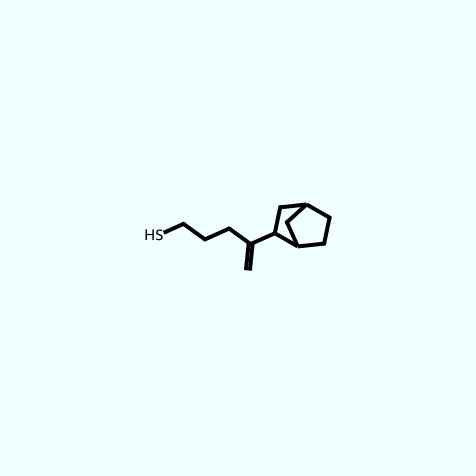 C=C(CCCS)C1CC2CCC1C2